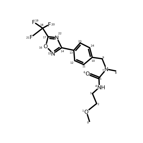 COCCNC(=O)N(C)Cc1ccc(-c2noc(C(F)(F)F)n2)cc1